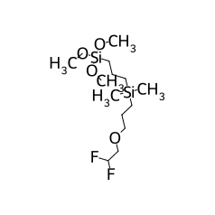 CO[Si](CCC[Si](C)(C)CCCOCC(F)F)(OC)OC